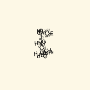 CC(C)(c1ccc(NC(=O)CCc2cnoc2-c2ccc(F)cc2)cc1)P(=O)(O)O